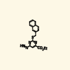 CCOC(=O)c1cc(N=N)nc(SCc2ccc3ccccc3c2)n1